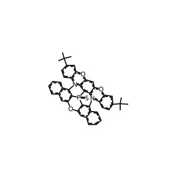 CC(C)(C)c1ccc2c(c1)oc1cc3oc4cc(C(C)(C)C)ccc4n4c3c3c1n2-c1c2c(cc5ccccc15)Oc1cc5ccccc5c-4c1P23=S